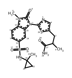 CC(Cc1cnc(-n2c(=O)n(C)c3ccc(S(=O)(=O)NC4(C)CC4)cc32)s1)C(N)=O